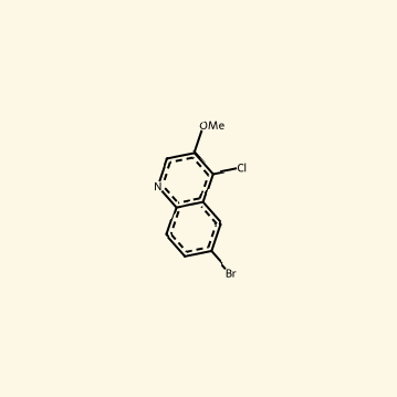 COc1cnc2ccc(Br)cc2c1Cl